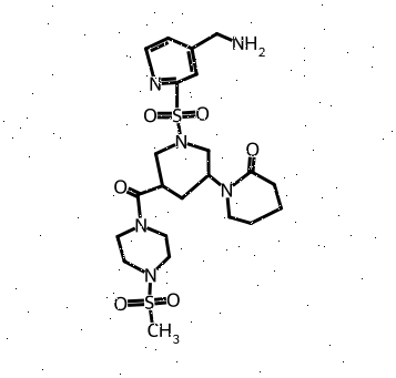 CS(=O)(=O)N1CCN(C(=O)C2CC(N3CCCCC3=O)CN(S(=O)(=O)c3cc(CN)ccn3)C2)CC1